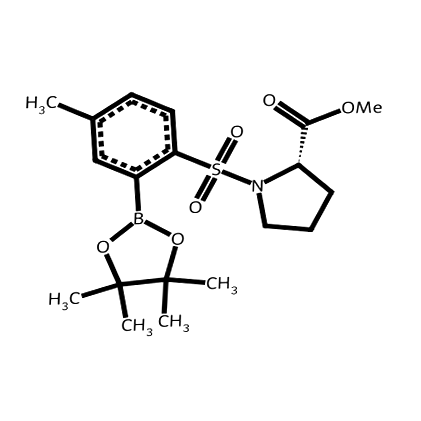 COC(=O)[C@@H]1CCCN1S(=O)(=O)c1ccc(C)cc1B1OC(C)(C)C(C)(C)O1